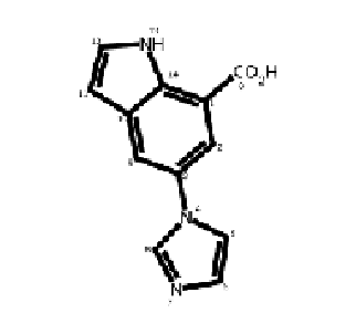 O=C(O)c1cc(-n2ccnc2)cc2cc[nH]c12